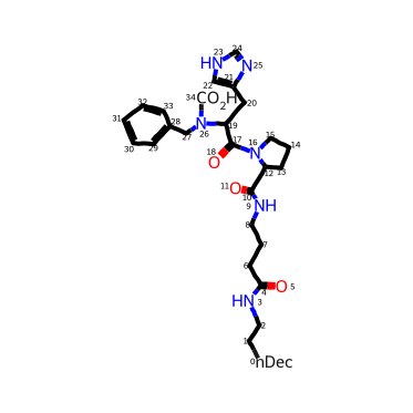 CCCCCCCCCCCCNC(=O)CCCNC(=O)C1CCCN1C(=O)C(Cc1c[nH]cn1)N(Cc1ccccc1)C(=O)O